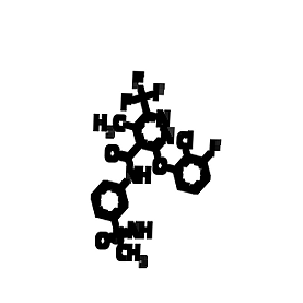 Cc1c(C(F)(F)F)nnc(Oc2cccc(F)c2Cl)c1C(=O)Nc1cccc(S(C)(=N)=O)c1